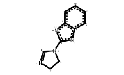 C1=NCCN1c1nc2ccccc2[nH]1